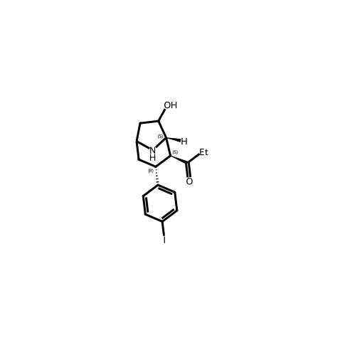 CCC(=O)[C@@H]1[C@@H]2NC(CC2O)C[C@H]1c1ccc(I)cc1